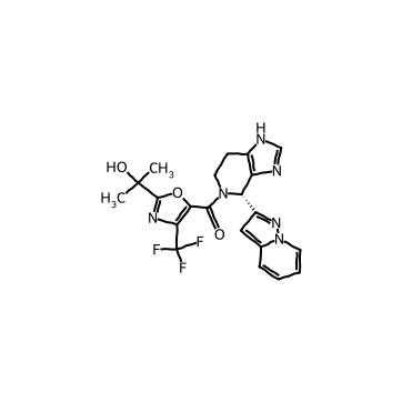 CC(C)(O)c1nc(C(F)(F)F)c(C(=O)N2CCc3[nH]cnc3[C@@H]2c2cc3ccccn3n2)o1